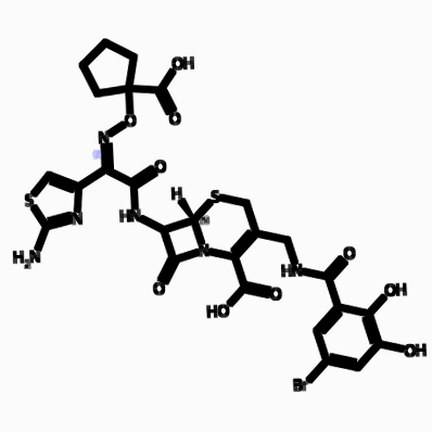 Nc1nc(/C(=N/OC2(C(=O)O)CCCC2)C(=O)NC2C(=O)N3C(C(=O)O)=C(CNC(=O)c4cc(Br)cc(O)c4O)CS[C@@H]23)cs1